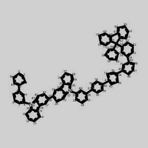 c1ccc(-c2cccc(-n3c4ccccc4c4cc(-c5ccc6c(c5)c5ccccc5n6-c5cccc(-c6ccc(-c7ccc(-c8cccc(-c9cccc(C%10(c%11ccccc%11)c%11ccccc%11-c%11ccccc%11%10)c9)c8)cc7)cc6)c5)ccc43)c2)cc1